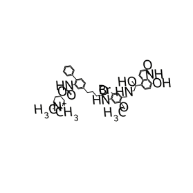 COc1cc(NC(=O)CCCc2ccc(-c3ccccc3)c(NC(=O)OC3CC[N+](C)(C)CC3)c2)c(Br)cc1CNC[C@@H](O)c1ccc(O)c2[nH]c(=O)ccc12